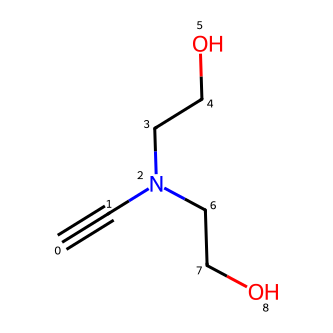 C#CN(CCO)CCO